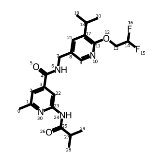 Cc1cc(C(=O)NCc2cnc(OCC(F)F)c(C(C)C)c2)cc(NC(=O)C(C)C)n1